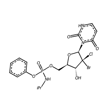 [CH2]C(C)NP(=O)(OC[C@H]1O[C@@H](n2c(=O)cc[nH]c2=O)[C@](Cl)(Br)[C@@H]1O)Oc1ccccc1